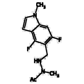 CC(=O)N(C)NCc1c(F)cc2c(ccn2C)c1F